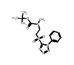 CN(CCS(=O)(=O)c1nnnn1-c1ccccc1)C(=O)OC(C)(C)C